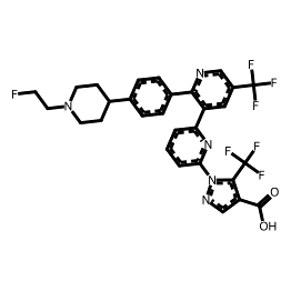 O=C(O)c1cnn(-c2cccc(-c3cc(C(F)(F)F)cnc3-c3ccc(C4CCN(CCF)CC4)cc3)n2)c1C(F)(F)F